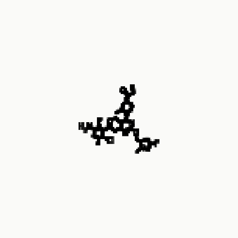 C=CC(=O)N1CCN(c2nc(OCC3CC(F)CN3C)nc3c2COC(c2c(F)c(N)cc(C)c2Cl)C3)C(C)C1